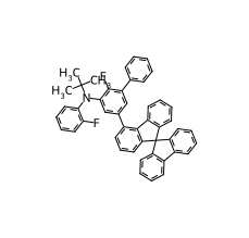 CC(C)(C)N(c1ccccc1F)c1cc(-c2cccc3c2-c2ccccc2C32c3ccccc3-c3ccccc32)cc(-c2ccccc2)c1F